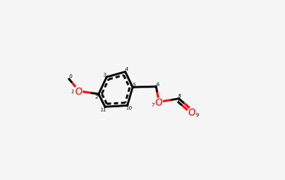 COc1ccc(CO[C]=O)cc1